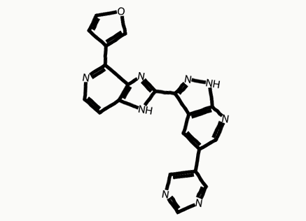 c1ncc(-c2cnc3[nH]nc(-c4nc5c(-c6ccoc6)nccc5[nH]4)c3c2)cn1